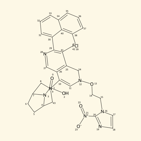 O=C(O)N1C2CCC1CN(C1=CN(OCCn3ccnc3[N+](=O)[O-])Cc3c1cnc(-c1cccc4cccc(Cl)c14)c3F)C2